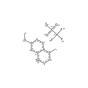 COc1ccc2c(C)cc[te+]c2c1.O=S(=O)([O-])C(F)(F)F